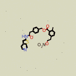 Cc1ccc(CCO[N+](=O)[O-])cc1C(=O)OCc1ccc(CC(=O)Nc2cc3ccncc3s2)cc1